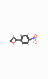 O=[N+]([O-])c1ccc(C2CCO2)cc1